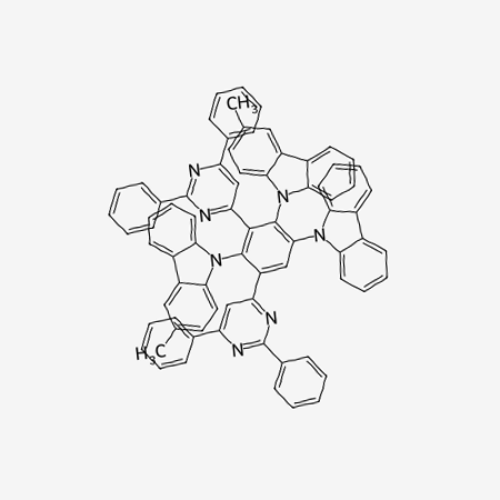 Cc1ccc2c(c1)c1ccccc1n2-c1c(-c2cc(-c3ccccc3)nc(-c3ccccc3)n2)cc(-n2c3ccccc3c3ccccc32)c(-n2c3ccccc3c3cc(C)ccc32)c1-c1cc(-c2ccccc2)nc(-c2ccccc2)n1